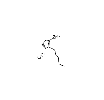 CCCCCC1=[C]([Zr+2])CC=C1.[Cl-].[Cl-]